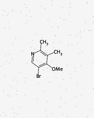 COc1c(Br)cnc(C)c1C